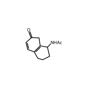 CC(=O)NC1CCCC2=C1CC(=O)C=C2